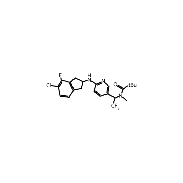 CN(C(=O)C(C)(C)C)C(c1ccc(NC2Cc3ccc(Cl)c(F)c3C2)nc1)C(F)(F)F